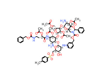 CC(=O)OC[C@H]1O[C@@H](O[C@@H]2[C@@H](OC(C)=O)[C@H](NC(=O)[C@H](CCNC(=O)OCc3ccccc3)OC(C)=O)C[C@H](N)[C@H]2O[C@H]2O[C@H](COS(=O)(=O)c3ccc(C)cc3)[C@@H](O)C[C@H]2N)[C@H](OC(C)=O)[C@@H]1O[C@H]1O[C@H]2CN(C(=O)OCc3ccccc3)C(c3ccccc3)O[C@H]2[C@H](OC(C)=O)[C@H]1N